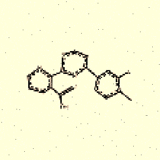 Cc1ccc(-c2ccnc(-c3ncccc3C(=O)O)n2)cc1Cl